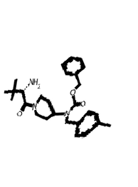 Cc1ccc(CN(C(=O)OCc2ccccc2)C2CCN(C(=O)[C@@H](N)C(C)(C)C)CC2)cc1